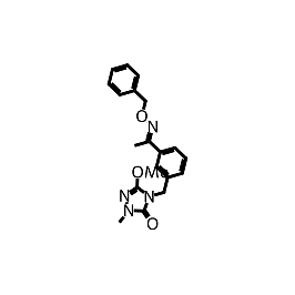 COc1nn(C)c(=O)n1Cc1cccc(/C(C)=N/OCc2ccccc2)c1